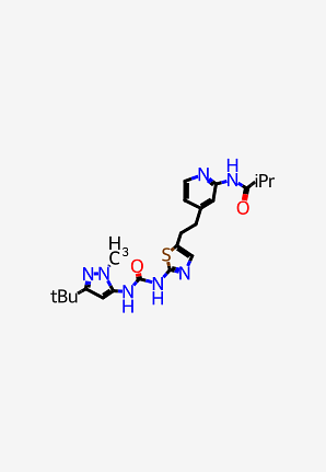 CC(C)C(=O)Nc1cc(CCc2cnc(NC(=O)Nc3cc(C(C)(C)C)nn3C)s2)ccn1